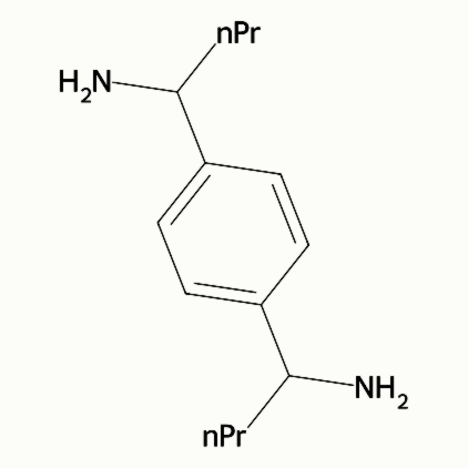 CCCC(N)c1ccc(C(N)CCC)cc1